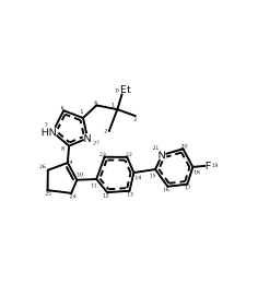 CCC(C)(C)Cc1c[nH]c(C2=C(c3ccc(-c4ccc(F)cn4)cc3)CCC2)n1